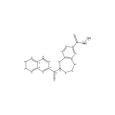 O=C(NO)c1ccc2c(c1)CCCN(C(=O)c1cnc3c(c1)=CCCC=3)C2